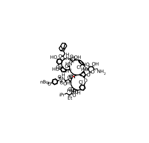 CCCCOc1ccc(S(=O)(=O)NC(=O)C[C@@H]2CC(=O)[C@H](NC(=O)[C@H](CC)CC(C)C)[C@H](O)c3ccc(c(Cl)c3)Oc3cc4cc(c3O[C@@H]3O[C@H](CN)[C@@H](O)[C@H](O)[C@H]3O)Oc3ccc(cc3Cl)[C@@H](O)[C@@H]3NC(=O)[C@H](CC(=O)[C@@H]4NC2=O)c2ccc(O)c(c2)-c2c(O)cc(O)cc2[C@@H](C(=O)CC2C4CC5CC(C4)CC2C5)NC3=O)cc1